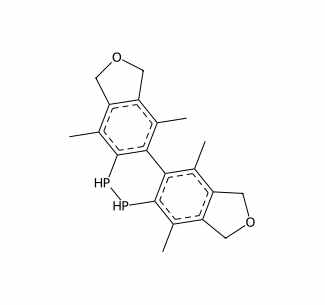 Cc1c2c(c(C)c3c1PPc1c(C)c4c(c(C)c1-3)COC4)COC2